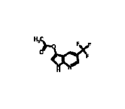 CC(=O)Oc1c[nH]c2ncc(C(F)(F)F)cc12